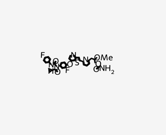 COC(COC(N)=O)Cc1cccc(-c2cc3nccc(Oc4ccc(N(C(=O)Nc5ccc(F)cc5)C(=O)C5CC5)cc4F)c3s2)n1